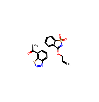 C=CCOC1=NS(=O)(=O)c2ccccc21.CSC(=O)c1cccc2nnsc12